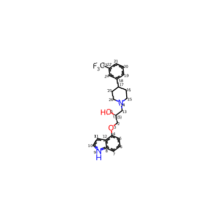 O[C@H](COc1cccc2[nH]ccc12)CN1CCC(c2cccc(C(F)(F)F)c2)CC1